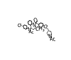 CC(=O)N1CCC(CCOc2ccc(C(=O)N3c4ccccc4[C@H](N(C(C)=O)c4ccc(Cl)cc4)C[C@@H]3C)cc2)CC1